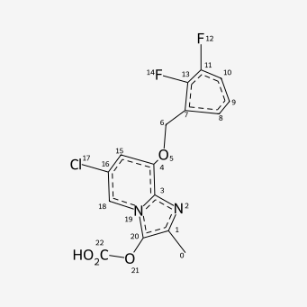 Cc1nc2c(OCc3cccc(F)c3F)cc(Cl)cn2c1OC(=O)O